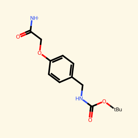 CC(C)(C)OC(=O)NCc1ccc(OCC([NH])=O)cc1